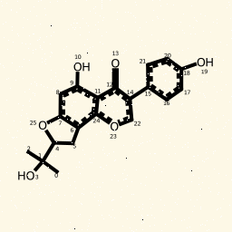 CC(C)(O)C1Cc2c(cc(O)c3c(=O)c(-c4ccc(O)cc4)coc23)O1